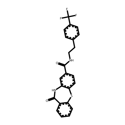 O=C(NCCc1ccc(C(F)(F)F)cc1)c1ccc2c(c1)NC(=O)c1ccccc1S2